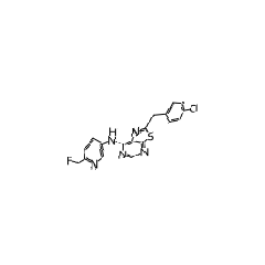 FCc1ccc(Nc2ncnc3sc(Cc4ccc(Cl)cc4)nc23)cn1